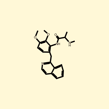 CNC(C)C(=O)Nc1c(Cc2nccc3ccccc23)ccc(OC)c1OC